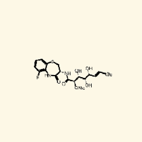 CO[C@@H](C(=O)N[C@H]1CSc2cccc(F)c2NC1=O)[C@H](O)[C@@H](O)[C@H](O)/C=C/C(C)(C)C